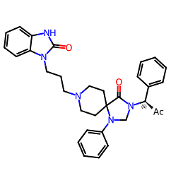 CC(=O)[C@H](c1ccccc1)N1CN(c2ccccc2)C2(CCN(CCCn3c(=O)[nH]c4ccccc43)CC2)C1=O